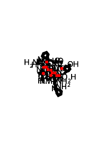 CNC(=O)[C@@H]1CCCN1C(=O)[C@H](CCCNC(=N)N)NC(=O)[C@H](CC(C)C)N(C(=O)[C@H](N)Cc1nc2ccccc2[nH]1)C(=O)[C@H](Cc1ccc(O)cc1)NC(=O)[C@H](CO)NC(=O)[C@H](Cc1c[nH]c2ccccc12)NC(=O)[C@H](Cc1c[nH]cn1)NC(=O)[C@@H](N)CCC(=O)O